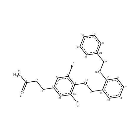 CC(=O)CCc1cc(F)c(OCc2ccccc2OCc2ccccc2)c(F)c1